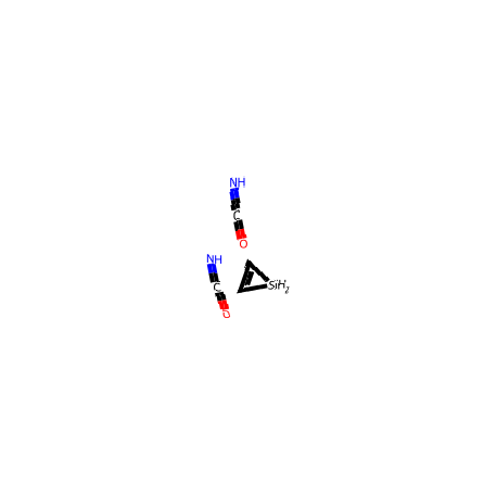 C1=C[SiH2]1.N=C=O.N=C=O